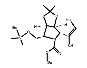 CC(C)(C)OC(=O)N1[C@H](CO[Si](C)(C)C(C)(C)C)[C@H]2OC(C)(C)O[C@H]2[C@@H]1/C(C#N)=C\O